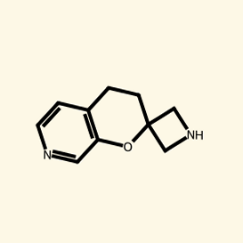 c1cc2c(cn1)OC1(CC2)CNC1